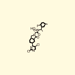 Cc1ccc(F)c([C@@H](C)NC(=O)[C@@H](CO)N2Cc3ccc(-c4nc(Cl)ncc4Cl)cc3C2=O)c1